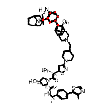 Cc1ncsc1-c1ccc([C@H](C)NC(=O)[C@@H]2C[C@@H](O)CN2C(=O)[C@@H](c2cc(N3CCC(CN4CCC5(CC4)CC(N4CCO[C@H](C(C)(C)N6C7CCC6CN(c6cc(-c8ccccc8O)nnc6N)C7)C4)C5)CC3)no2)C(C)C)cc1